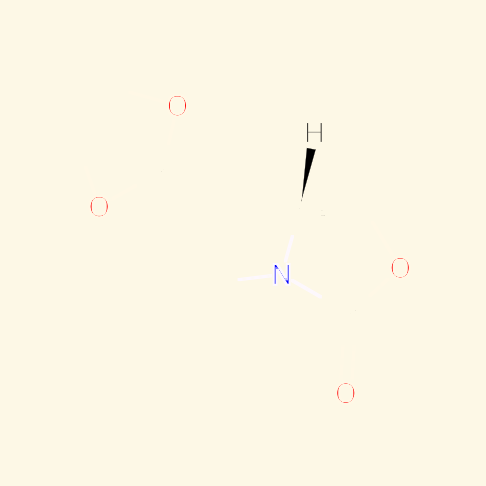 O=C1OC[C@H]2CC3(CCN12)OCCO3